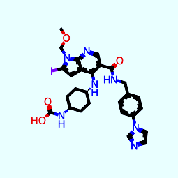 COCn1c(I)cc2c(N[C@H]3CC[C@H](NC(=O)O)CC3)c(C(=O)NCc3ccc(-n4ccnc4)cc3)cnc21